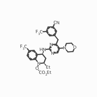 CCOC(=O)ON1c2ccc(C(F)(F)F)cc2[C@@H](Nc2ncc(N3CCOCC3)c(Cc3cc(C#N)cc(C(F)(F)F)c3)n2)C[C@H]1CC